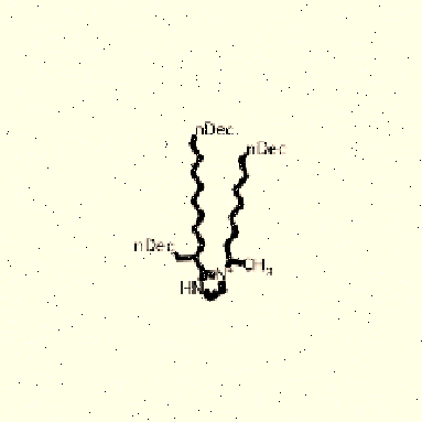 CCCCCCCCCCCCCCCCCCC(CCCCCCCCCCC)c1[nH]cc[n+]1C(C)CCCCCCCCCCCCCCCCC